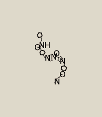 CN(C)CCCOc1ccc(CN2CCC(C(=O)N3CCCN(Cc4ccc(C(=O)NCCc5ccccc5)cc4)CC3)CC2)cc1